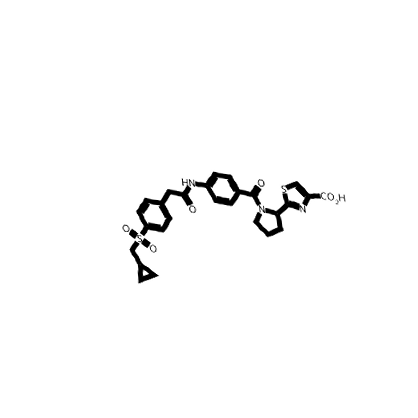 O=C(Cc1ccc(S(=O)(=O)CC2CC2)cc1)Nc1ccc(C(=O)N2CCCC2c2nc(C(=O)O)cs2)cc1